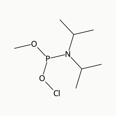 COP(OCl)N(C(C)C)C(C)C